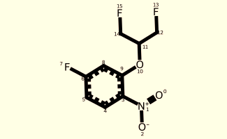 O=[N+]([O-])c1ccc(F)cc1OC(CF)CF